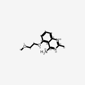 COCCOc1cccc2nc(C)nc(N)c12